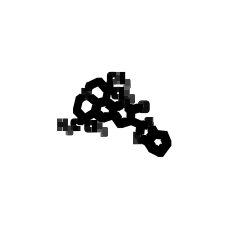 CC1(C)CCN2CCC(C)(C)c3c2c1cc1cc(-c2nc4ccccc4s2)c(=O)oc31